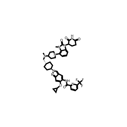 CN(C[C@H]1CC[C@H](n2cc3cc(NC(=O)c4cccc(C(F)(F)F)n4)c(OC4CC4)cc3n2)CC1)C1CCN(c2cccc3c2n(C)c(=O)n3C2CCC(=O)NC2=O)CC1